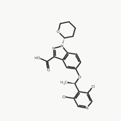 C[C@@H](Oc1ccc2c(c1)c(C(=O)O)nn2[C@H]1CCCCO1)c1c(Cl)cncc1Cl